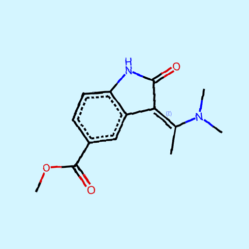 COC(=O)c1ccc2c(c1)/C(=C(\C)N(C)C)C(=O)N2